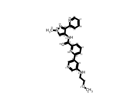 COCCNc1cncc(-c2cccc(C(=O)Nc3cn(C)nc3-c3ccccn3)n2)c1